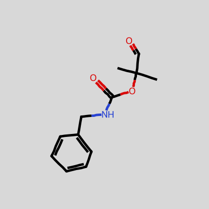 CC(C)(C=O)OC(=O)NCc1ccccc1